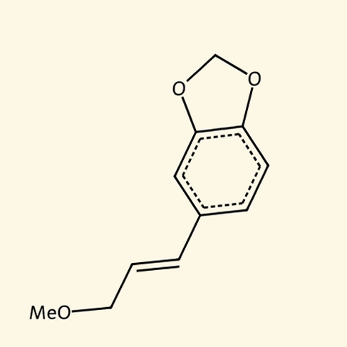 COCC=Cc1ccc2c(c1)OCO2